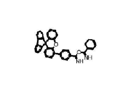 N=C(OC(=N)c1ccc(-c2cccc3c2Oc2ccccc2C32C3=C(C=CCC3)c3ccccc32)cc1)C1=CC=CCC1